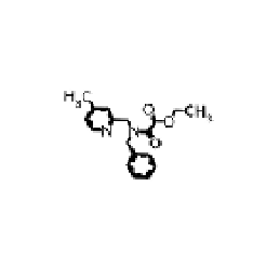 CCOC(=O)C(=O)N(Cc1ccccc1)Cc1cc(C)ccn1